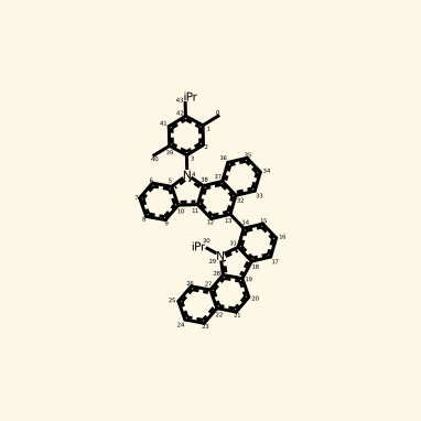 Cc1cc(-n2c3ccccc3c3cc(-c4cccc5c6ccc7ccccc7c6n(C(C)C)c45)c4ccccc4c32)c(C)cc1C(C)C